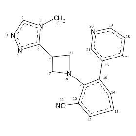 Cn1cnnc1C1CN(c2c(C#N)cccc2-c2cccnc2)C1